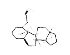 C=CCC1CCCC2=CC[C@@H]3[C@H](CC[C@]4(C)CCC[C@@H]34)[C@H]21